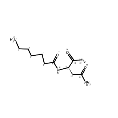 NCCCCCC(=O)N[C@@H](CC(N)=O)C(N)=O